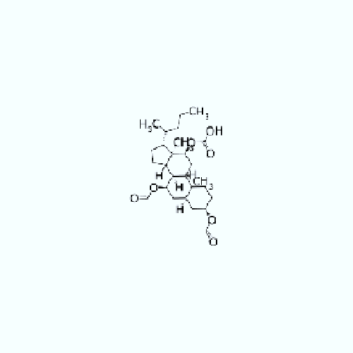 CCCC(C)[C@H]1CC[C@H]2[C@@H]3[C@H](OC=O)C[C@@H]4C[C@H](OC=O)CC[C@]4(C)[C@H]3C[C@H](OC(=O)O)[C@]12C